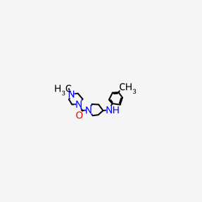 Cc1ccc(NC2CCN(C(=O)N3CCN(C)CC3)CC2)cc1